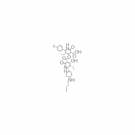 CCc1c(-c2ccc(NCCCI)cc2)[nH]c(=O)c(C(=O)Oc2c(CC)c(-c3ccc(I)cc3)[nH]c(=O)c2C(=O)O)c1O